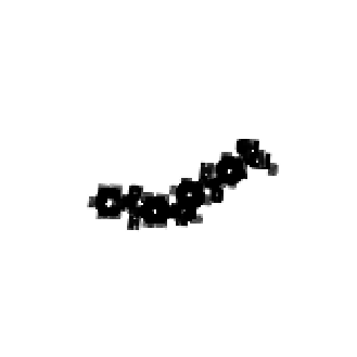 CN(C)c1ccc(C(=O)Nc2ccc3c(cnn3-c3ccc(NC(=O)N4CC=CCC4)cc3)c2)cc1